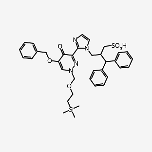 C[Si](C)(C)CCOCn1cc(OCc2ccccc2)c(=O)c(-c2nccn2CC(CS(=O)(=O)O)C(c2ccccc2)c2ccccc2)n1